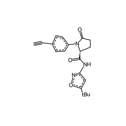 C#Cc1ccc(N2C(=O)CC[C@H]2C(=O)Nc2cc(C(C)(C)C)on2)cc1